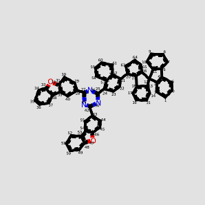 c1ccc2c(c1)-c1ccccc1C21c2ccccc2-c2c(-c3ccc(-c4nc(-c5ccc6oc7ccccc7c6c5)nc(-c5ccc6oc7ccccc7c6c5)n4)c4ccccc34)cccc21